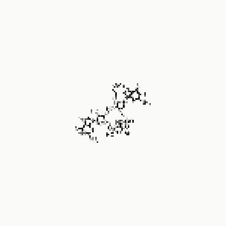 COCCO[C@H]1C(O)[C@@H](COP(=O)(O)OP(=O)(O)OP(=O)(O)OC[C@H]2O[C@@H](n3c[n+](C)c4c(=O)[nH]c(N)nc43)[C@@H](O)C2O)O[C@H]1n1cnc2c(=S)[nH]c(N)nc21